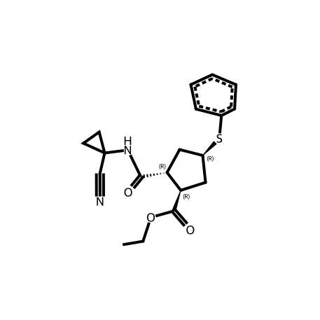 CCOC(=O)[C@@H]1C[C@H](Sc2ccccc2)C[C@H]1C(=O)NC1(C#N)CC1